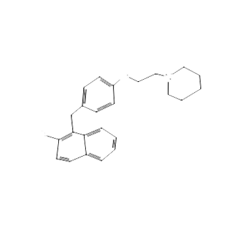 Oc1ccc2ccccc2c1Cc1ccc(OCCN2CCCCC2)cc1